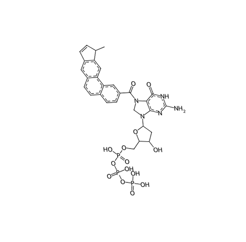 CC1C=Cc2cc3ccc4ccc(C(=O)N5CN(C6CC(O)C(COP(=O)(O)OP(=O)(O)OP(=O)(O)O)O6)c6nc(N)[nH]c(=O)c65)cc4c3cc21